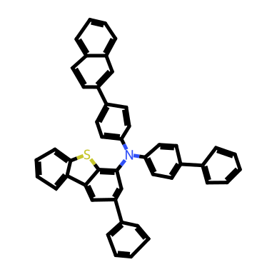 c1ccc(-c2ccc(N(c3ccc(-c4ccc5ccccc5c4)cc3)c3cc(-c4ccccc4)cc4c3sc3ccccc34)cc2)cc1